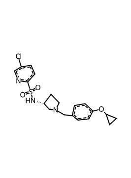 O=S(=O)(N[C@@H]1CCN(Cc2ccc(OC3CC3)cc2)C1)c1ccc(Cl)cn1